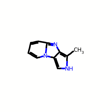 Cc1[nH]cc2c1nc1ccccn12